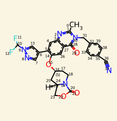 Cc1nc2cc(-c3cnn(C(F)F)c3)c(O[C@H]3CCN4C(=O)OC[C@@H]4C3)cc2c(=O)n1Cc1ccc(C#N)cc1